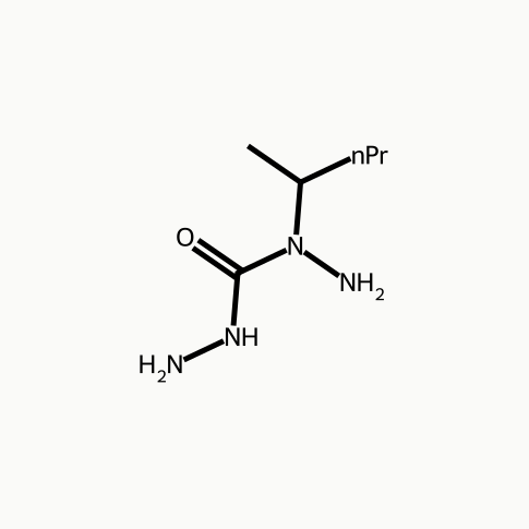 CCCC(C)N(N)C(=O)NN